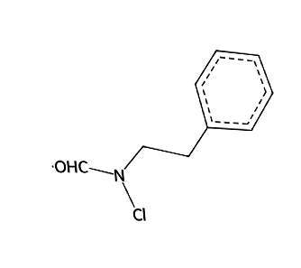 O=[C]N(Cl)CCc1ccccc1